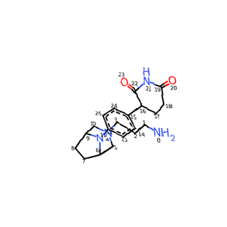 NCCCN1CC2CCC(C1)N2c1ccc(C2CCC(=O)NC2=O)cc1